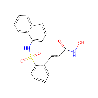 O=C(C=Cc1ccccc1S(=O)(=O)Nc1cccc2ccccc12)NO